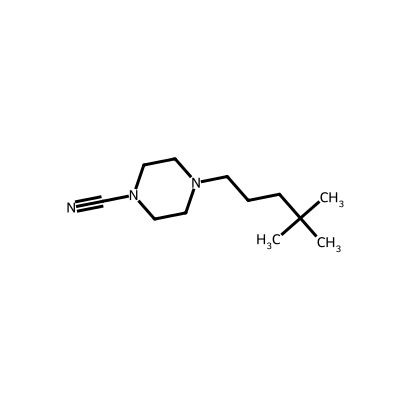 CC(C)(C)CCCN1CCN(C#N)CC1